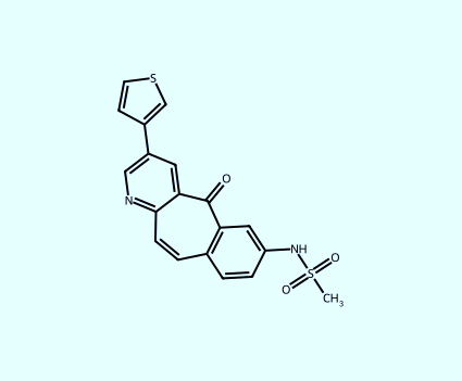 CS(=O)(=O)Nc1ccc2ccc3ncc(-c4ccsc4)cc3c(=O)c2c1